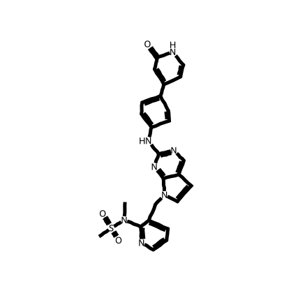 CN(c1ncccc1Cn1ccc2cnc(Nc3ccc(-c4cc[nH]c(=O)c4)cc3)nc21)S(C)(=O)=O